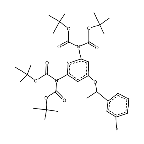 CC(Oc1cc(N(C(=O)OC(C)(C)C)C(=O)OC(C)(C)C)nc(N(C(=O)OC(C)(C)C)C(=O)OC(C)(C)C)c1)c1cccc(F)c1